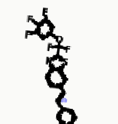 Fc1cc(OC(F)(F)c2nc3ccc(/C=C/c4ccccc4)cc3s2)cc(F)c1F